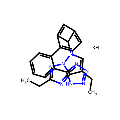 CCc1nc2c(CC)cn(C3C4=CC=C(c5ccccc5-c5nnn[nH]5)C3=C4)n2n1.[KH]